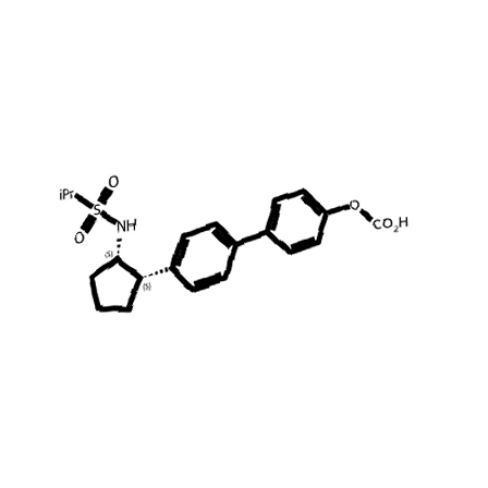 CC(C)S(=O)(=O)N[C@H]1CCC[C@H]1c1ccc(-c2ccc(OC(=O)O)cc2)cc1